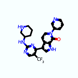 O=c1c2[nH]cc(-c3nc(NC4CCCNC4)ncc3C(F)(F)F)c2ccn1-c1cccnc1